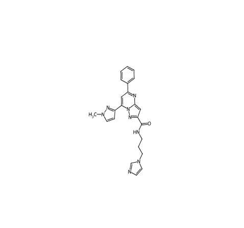 Cn1ccc(-c2cc(-c3ccccc3)nc3cc(C(=O)NCCCn4ccnc4)nn23)n1